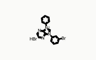 Br.Brc1cccc(-n2c[n+](-c3ccccc3)c3nccnc32)c1